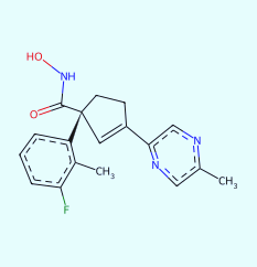 Cc1cnc(C2=C[C@@](C(=O)NO)(c3cccc(F)c3C)CC2)cn1